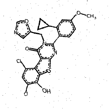 COc1ccc(-c2nc3sc4c(O)c(Cl)cc(Cl)c4c3c(=O)n2Cc2cnco2)c(C2CC2)c1